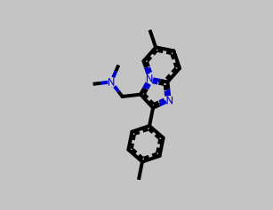 Cc1ccc(-c2nc3ccc(C)cn3c2CN(C)C)cc1